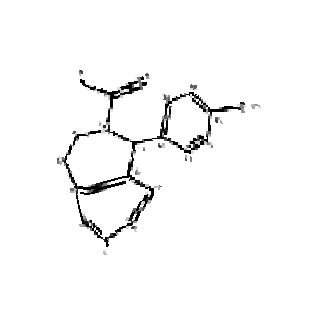 C=C(C)N1CCc2cnccc2C1c1ccc(F)cc1